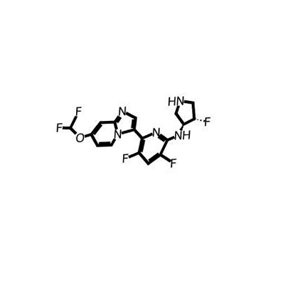 Fc1cc(F)c(-c2cnc3cc(OC(F)F)ccn23)nc1N[C@H]1CNC[C@@H]1F